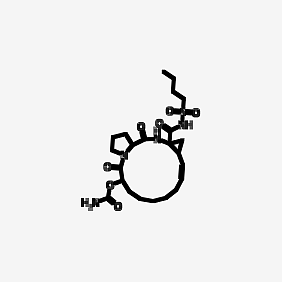 CCCCS(=O)(=O)NC(=O)C12CC1C=CCCCCCC(OC(N)=O)C(=O)N1CCCC1C(=O)N2